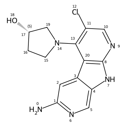 Nc1cc2c(cn1)[nH]c1ncc(Cl)c(N3CC[C@H](O)C3)c12